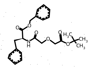 CC(C)(C)OC(=O)COCC(=O)N[C@@H](Cc1ccccc1)C(=O)OCc1ccccc1